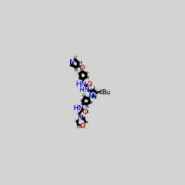 CC(C)(C)c1cc(NC(=O)Nc2ccc(Oc3ccncc3)cc2)n(-c2ccc(NC(=O)CN3CCOCC3)cc2)n1